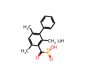 Cc1cc(C)c(-c2ccccc2)c(C)c1C(=O)[PH](=O)O.[LiH]